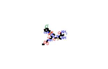 CCOC(=O)CNC(=O)CC1CN(S(=O)(=O)c2cc3cc(Cl)ccc3[nH]2)CCN1C(=O)c1nc2c(s1)CNC(C)C2C(N)=O